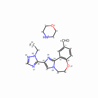 C1COCCN1.O=Cc1ccc2c(c1)-c1nc(-c3ncnn3CC(F)(F)F)cn1CCO2